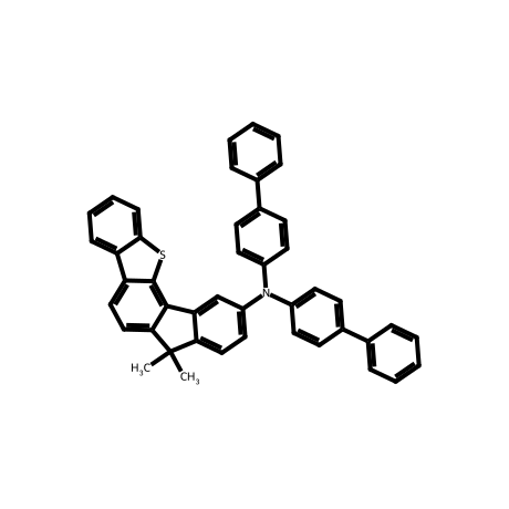 CC1(C)c2ccc(N(c3ccc(-c4ccccc4)cc3)c3ccc(-c4ccccc4)cc3)cc2-c2c1ccc1c2sc2ccccc21